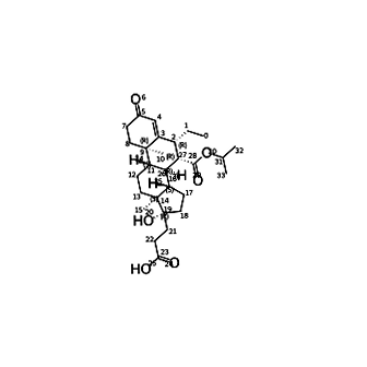 CC[C@H]1C2=CC(=O)CC[C@]2(C)[C@H]2CC[C@@]3(C)[C@@H](CC[C@@]3(O)CCC(=O)O)[C@@H]2[C@H]1C(=O)OC(C)C